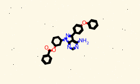 Nc1ncnc2c1c(-c1ccc(Oc3ccccc3)cc1)nn2C1CCCC(OC(=O)c2ccccc2)C1